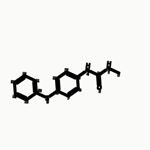 CNC(=O)Nc1ccc(Sc2ccccc2)cc1